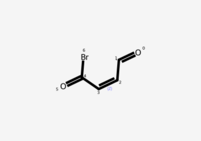 O=[C]/C=C\C(=O)Br